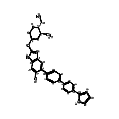 C[C@H]1C[C@@H](Oc2nc3nc(-c4ccc(-c5ccc(-c6ncco6)cc5)cc4)c(Cl)cc3[nH]2)CO[C@@H]1CO